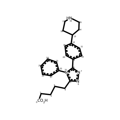 O=C(O)CCCCc1nnc(-c2ccc(C3CCNCC3)cc2)n1-c1ccccc1